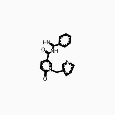 N=C(NC(=O)c1ccc(=O)n(Cc2cccnc2)c1)c1ccccc1